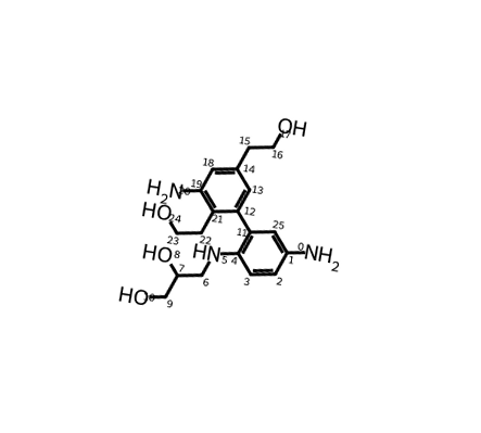 Nc1ccc(NCC(O)CO)c(-c2cc(CCO)cc(N)c2CCO)c1